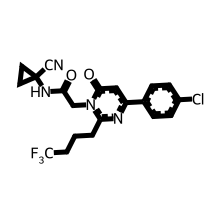 N#CC1(NC(=O)Cn2c(CCCC(F)(F)F)nc(-c3ccc(Cl)cc3)cc2=O)CC1